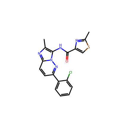 Cc1nc(C(=O)Nc2c(C)nc3ccc(-c4ccccc4Cl)nn23)cs1